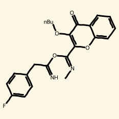 CCCCOc1c(/C(=N/C)OC(=N)Cc2ccc(F)cc2)oc2ccccc2c1=O